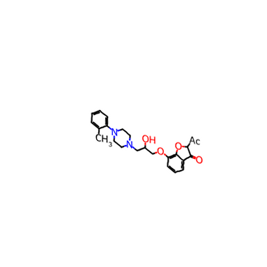 CC(=O)C1Oc2c(OCC(O)CN3CCN(c4ccccc4C)CC3)cccc2C1=O